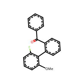 COc1cccc(F)c1-c1ccccc1C(=O)c1ccccc1